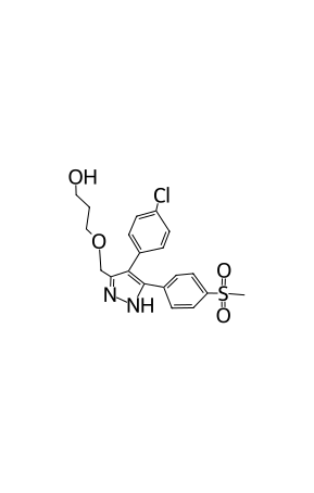 CS(=O)(=O)c1ccc(-c2[nH]nc(COCCCO)c2-c2ccc(Cl)cc2)cc1